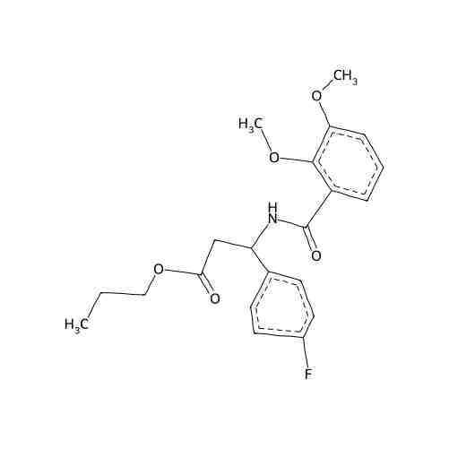 CCCOC(=O)CC(NC(=O)c1cccc(OC)c1OC)c1ccc(F)cc1